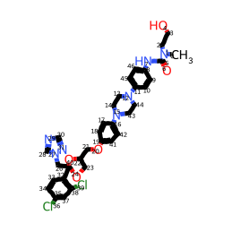 CN(CCO)C(=O)Nc1ccc(N2CCN(c3ccc(OCC4COC(Cn5cncn5)(c5ccc(Cl)cc5Cl)O4)cc3)CC2)cc1